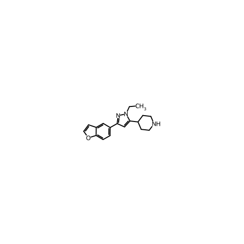 CCn1nc(-c2ccc3occc3c2)cc1C1CCNCC1